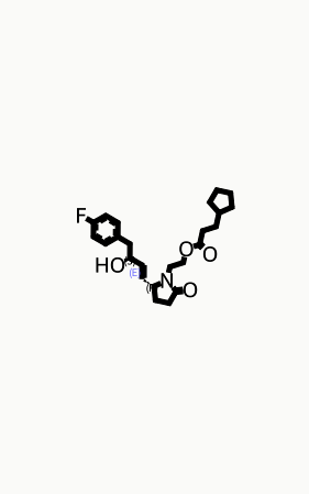 O=C(CCC1CCCC1)OCCN1C(=O)CC[C@@H]1/C=C/[C@@H](O)Cc1ccc(F)cc1